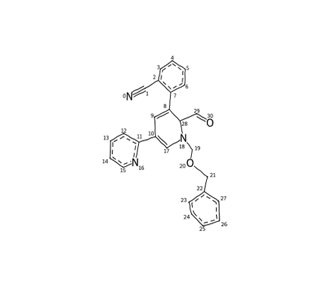 N#Cc1ccccc1C1=CC(c2ccccn2)=CN(COCc2ccccc2)C1C=O